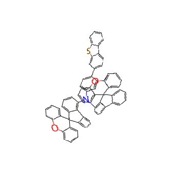 c1ccc2c(c1)Oc1ccccc1C21c2ccccc2-c2c(N(c3ccc(-c4ccc5c(c4)sc4ccccc45)cc3)c3cccc4c3C3(c5ccccc5Oc5ccccc53)c3ccccc3-4)cccc21